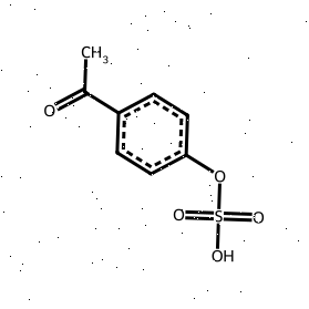 CC(=O)c1ccc(OS(=O)(=O)O)cc1